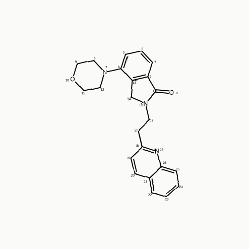 O=C1c2cccc(N3CCOCC3)c2CN1CCc1ccc2ccccc2n1